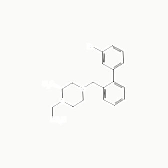 C[C@@H]1CN(Cc2ccccc2-c2cccc(Br)c2)CCN1CC(=O)O